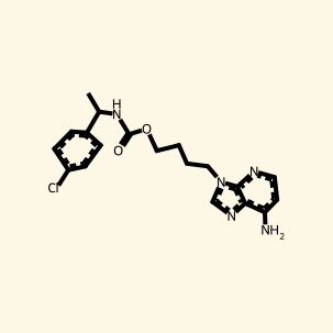 CC(NC(=O)OCCCCn1cnc2c(N)ccnc21)c1ccc(Cl)cc1